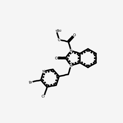 CC(C)(C)OC(=O)n1c(=O)n(Cc2cnc(Br)c(Cl)c2)c2ccccc21